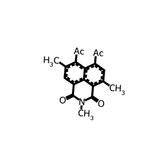 CC(=O)c1cc(C)c2c3c(cc(C)c(C(C)=O)c13)C(=O)N(C)C2=O